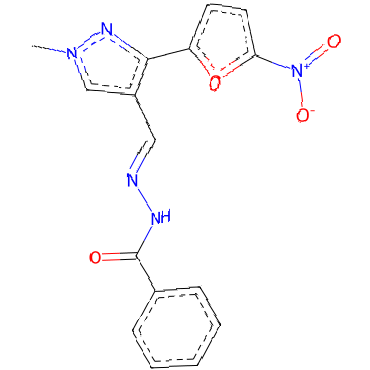 Cn1cc(/C=N/NC(=O)c2ccccc2)c(-c2ccc([N+](=O)[O-])o2)n1